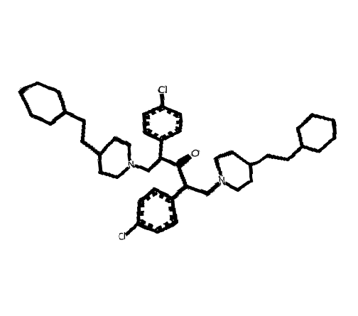 O=C(C(CN1CCC(CCC2CCCCC2)CC1)c1ccc(Cl)cc1)C(CN1CCC(CCC2CCCCC2)CC1)c1ccc(Cl)cc1